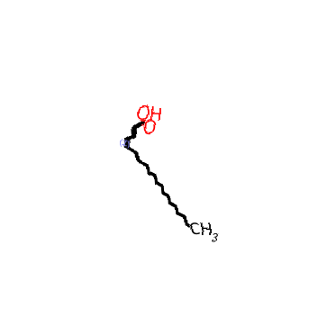 CCCCCCCCCCCCCCC/C=C\C=CC(=O)O